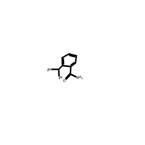 CC(C)C(c1ccccc1C(N)=O)C(C)C